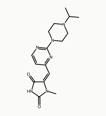 CC(C)N1CCN(c2nccc(/C=C3\C(=O)NC(=O)N3C)n2)CC1